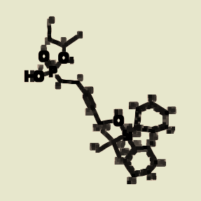 CCC(C)OP(=O)(O)CCC#CCO[Si](c1ccccc1)(c1ccccc1)C(C)(C)C